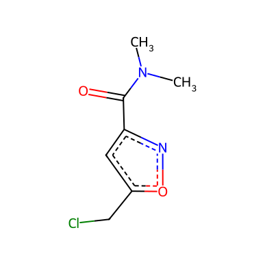 CN(C)C(=O)c1cc(CCl)on1